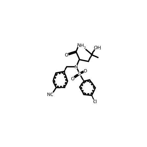 CC(C)(O)CC(C(N)=O)N(Cc1ccc(C#N)cc1)S(=O)(=O)c1ccc(Cl)cc1